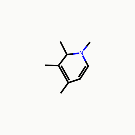 CC1=C(C)C(C)N(C)C=C1